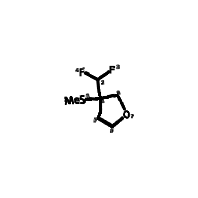 CSC1(C(F)F)CCOC1